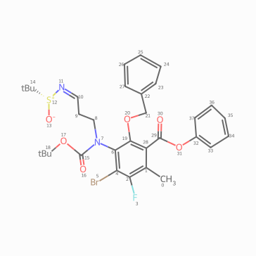 Cc1c(F)c(Br)c(N(CC/C=N\[S@+]([O-])C(C)(C)C)C(=O)OC(C)(C)C)c(OCc2ccccc2)c1C(=O)Oc1ccccc1